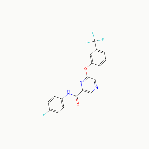 O=C(Nc1ccc(F)cc1)c1cncc(Oc2cccc(C(F)(F)F)c2)n1